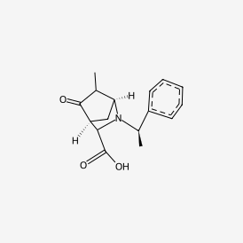 CC1C(=O)[C@H]2C[C@@H]1N([C@H](C)c1ccccc1)C2C(=O)O